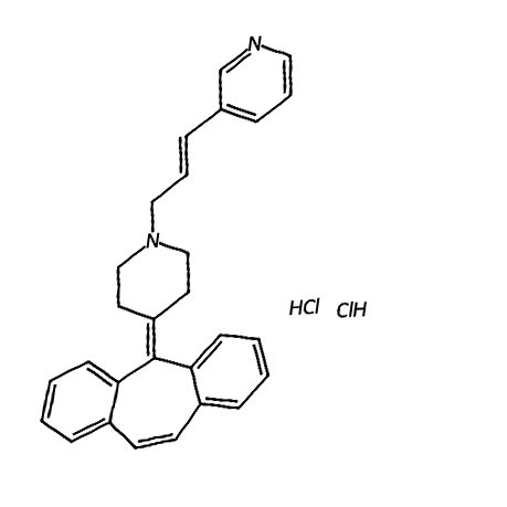 C(=Cc1cccnc1)CN1CCC(=C2c3ccccc3C=Cc3ccccc32)CC1.Cl.Cl